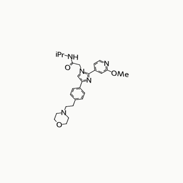 COc1cc(-c2nc(-c3ccc(CCN4CCOCC4)cc3)cn2CC(=O)NC(C)C)ccn1